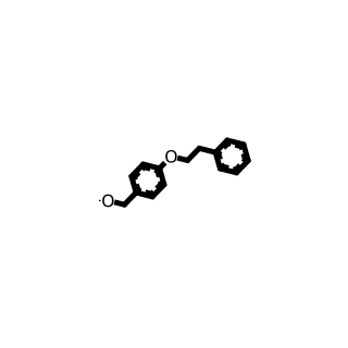 [O]Cc1ccc(OCCc2ccccc2)cc1